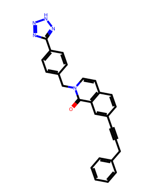 O=c1c2cc(C#CCc3ccccc3)ccc2ccn1Cc1ccc(-c2nn[nH]n2)cc1